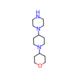 C1CN(C2CCN(C3CCOCC3)CC2)CCN1